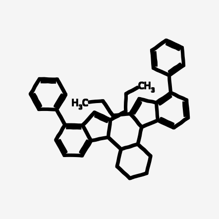 CCCC1=Cc2c(-c3ccccc3)cccc2C1C1CCCCC1C1C(CCC)=Cc2c(-c3ccccc3)cccc21